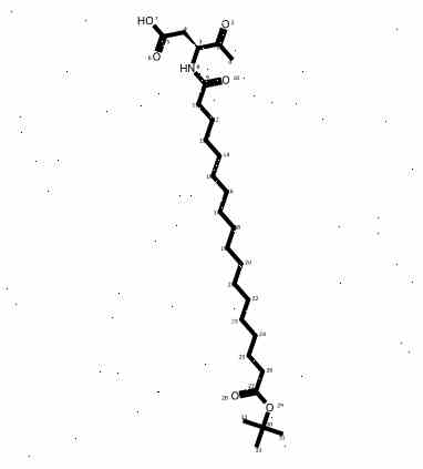 CC(=O)[C@H](CC(=O)O)NC(=O)CCCCCCCCCCCCCCCCC(=O)OC(C)(C)C